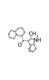 Cc1[nH]c2ccsc2c1C(=O)c1cccc2ccccc12